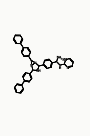 NC(NC1N=CC=CN1)c1ccc(C2NC(c3ccc(-c4ccccc4)cc3)N3C(c4ccc(-c5ccccc5)cc4)N23)cc1